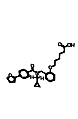 [2H]C([2H])(C1CC1)N(Cc1ccccc1OCCCCCC(=O)O)C(=O)c1ccc(-c2ccco2)cc1